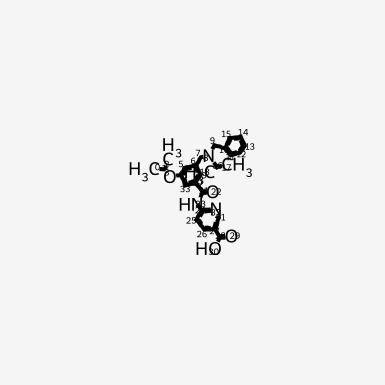 CC(C)Oc1cc(CN(Cc2ccccc2)C(C)C)cc(C(=O)Nc2ccc(C(=O)O)cn2)c1